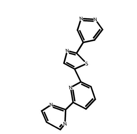 c1cnc(-c2cccc(-c3cnc(-c4ccnnc4)s3)n2)nc1